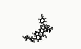 C[C@H](Oc1cc(-c2nn(C)c3c(-c4cnn(C5CN(C)C5)c4)cnc(N)c23)ccc1NS(=O)(=O)C(F)F)c1ccc(F)cc1